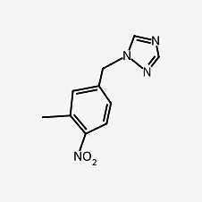 Cc1cc(Cn2cncn2)ccc1[N+](=O)[O-]